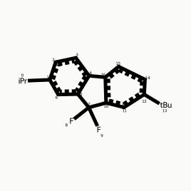 CC(C)c1ccc2c(c1)C(F)(F)c1cc(C(C)(C)C)ccc1-2